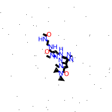 CCn1nc(Nc2nc3c(cc(C(=O)N(C4CC4)C4CC4)n3CC)c3c2ncn3C)cc1C(=O)NCCNC(C)=O